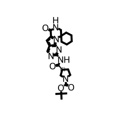 CC(C)(C)OC(=O)N1CC[C@H](C(=O)Nc2ncc3cc4n(c3n2)C2(CCCCC2)CNC4=O)C1